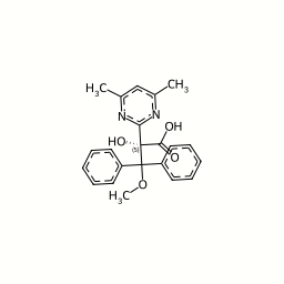 COC(c1ccccc1)(c1ccccc1)[C@](O)(C(=O)O)c1nc(C)cc(C)n1